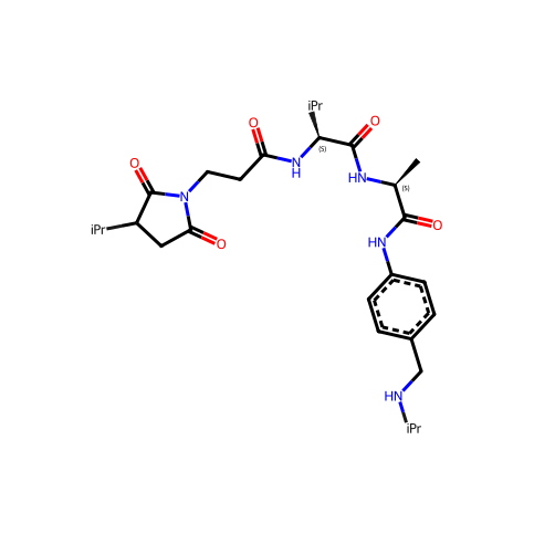 CC(C)NCc1ccc(NC(=O)[C@H](C)NC(=O)[C@@H](NC(=O)CCN2C(=O)CC(C(C)C)C2=O)C(C)C)cc1